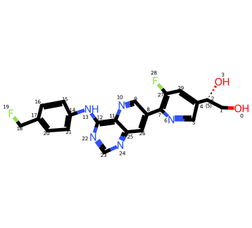 OC[C@@H](O)c1cnc(-c2cnc3c(Nc4ccc(CF)cc4)ncnc3c2)c(F)c1